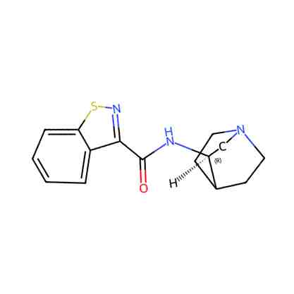 O=C(N[C@H]1CN2CCC1CC2)c1nsc2ccccc12